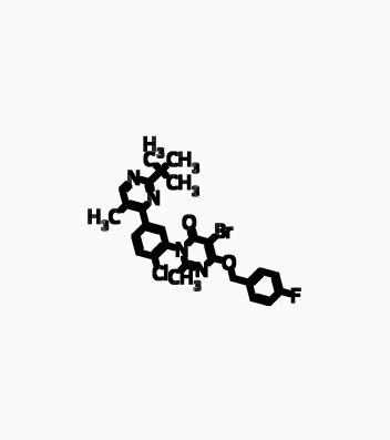 Cc1cnc(C(C)(C)C)nc1-c1ccc(Cl)c(-n2c(C)nc(OCc3ccc(F)cc3)c(Br)c2=O)c1